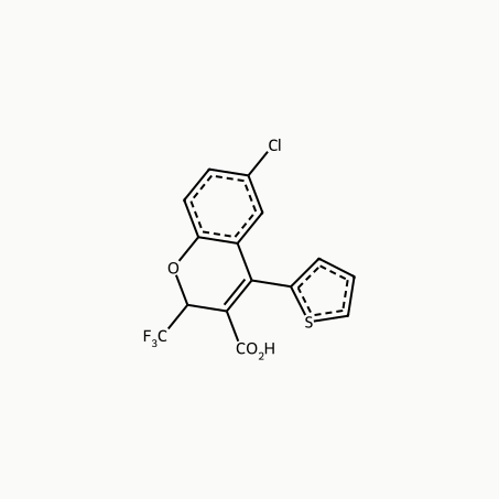 O=C(O)C1=C(c2cccs2)c2cc(Cl)ccc2OC1C(F)(F)F